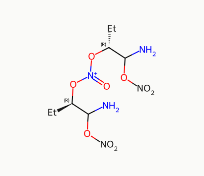 CC[C@@H](O[N+](=O)O[C@H](CC)C(N)O[N+](=O)[O-])C(N)O[N+](=O)[O-]